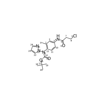 Cc1cc(NC(=O)CCCl)ccc1N(C(=O)OC(C)(C)C)n1cccn1